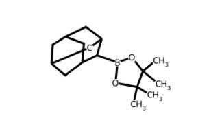 CC1(C)OB(C2C3CC4CC(C3)CC2C4)OC1(C)C